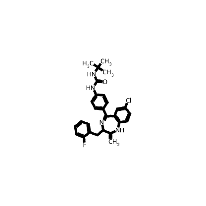 C=C1Nc2ccc(Cl)cc2C(c2ccc(NC(=O)NC(C)(C)C)cc2)=NC1Cc1ccccc1F